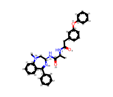 CC(NC(=O)Cc1cccc(Oc2ccccc2)c1)C(=O)N[C@@H]1CN(C)c2ccccc2C(c2ccccc2)=N1